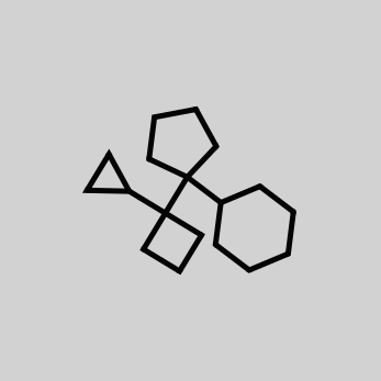 C1CCC(C2(C3(C4CC4)CCC3)CCCC2)CC1